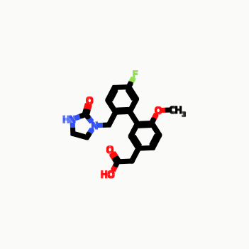 COc1ccc(CC(=O)O)cc1-c1cc(F)ccc1CN1CCNC1=O